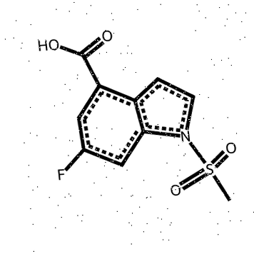 CS(=O)(=O)n1ccc2c(C(=O)O)cc(F)cc21